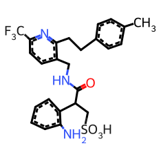 Cc1ccc(CCc2nc(C(F)(F)F)ccc2CNC(=O)C(CS(=O)(=O)O)c2ccccc2N)cc1